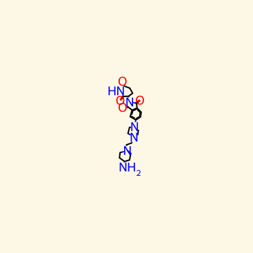 NC1CCN(CCN2CCN(c3ccc4c(c3)C(=O)N(C3CCC(=O)NC3=O)C4=O)CC2)CC1